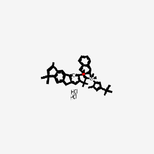 Cl.Cl.[CH2]=[Zr]([CH3])([C]1=CC(C(C)(C)C)=CC1C)([C]1=C(C)c2cc3c(cc2C1(C)C)Cc1cc2c(cc1-3)C(C)=CC2(C)C)[c]1ccc2ccccc2c1